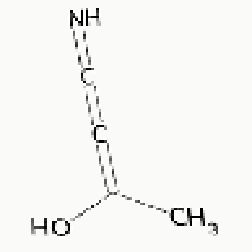 CC(O)=C=C=N